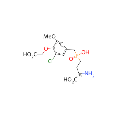 COc1cc(CP(=O)(O)CC[C@H](N)C(=O)O)cc(Cl)c1OCC(=O)O